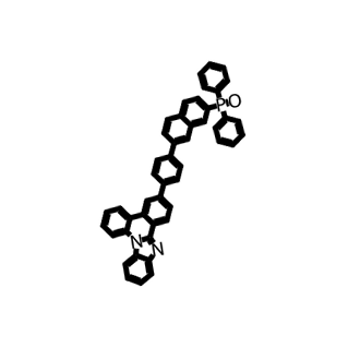 O=P(c1ccccc1)(c1ccccc1)c1ccc2ccc(-c3ccc(-c4ccc5c(c4)c4ccccc4n4c6ccccc6nc54)cc3)cc2c1